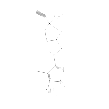 C#CC1(O)CC2CC(c3nn(C)c(N)c3C)CC2C1